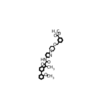 COC(=O)c1cccc(COC2CCN(c3ccc(NC(=O)c4oc5ccc(-c6ccccc6OC)cc5c4C)cn3)CC2)c1